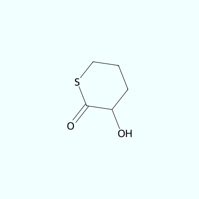 O=C1SCCCC1O